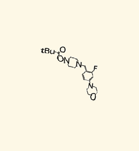 CC(C)(C)C(=O)ON1CCN(Cc2ccc(N3CCOCC3)cc2F)CC1